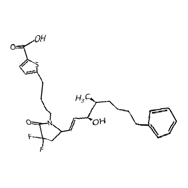 C[C@@H](CCCCc1ccccc1)[C@@H](O)C=CC1CC(F)(F)C(=O)N1CCCc1ccc(C(=O)O)s1